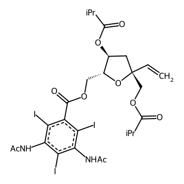 C=C[C@@]1(COC(=O)C(C)C)C[C@H](OC(=O)C(C)C)[C@@H](COC(=O)c2c(I)c(NC(C)=O)c(I)c(NC(C)=O)c2I)O1